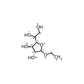 CCOC1O[C@H](C(O)CO)[C@H](O)[C@H]1O